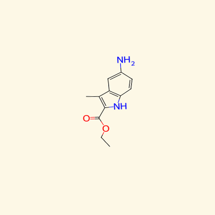 CCOC(=O)c1[nH]c2ccc(N)cc2c1C